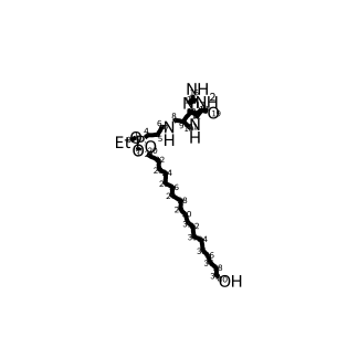 CCOP(=O)(CCCNCC1CNc2c1nc(N)[nH]c2=O)OCCCCCCCCCCCCCCCCCCCO